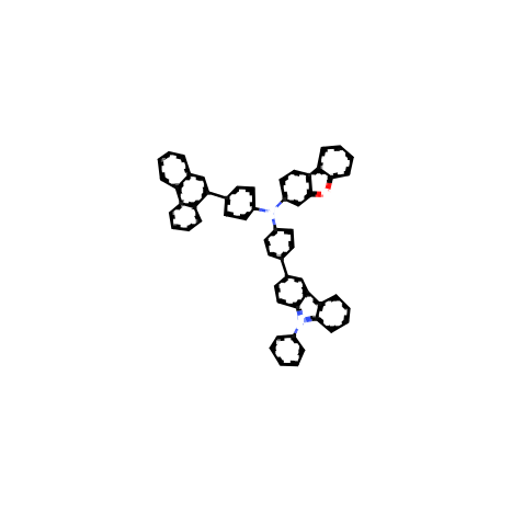 c1ccc(-n2c3ccccc3c3cc(-c4ccc(N(c5ccc(-c6cc7ccccc7c7ccccc67)cc5)c5ccc6c(c5)oc5ccccc56)cc4)ccc32)cc1